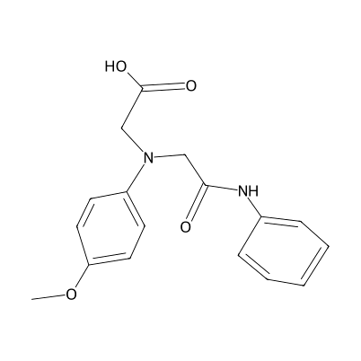 COc1ccc(N(CC(=O)O)CC(=O)Nc2ccccc2)cc1